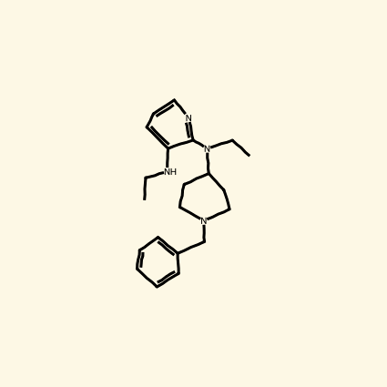 CCNc1cccnc1N(CC)C1CCN(Cc2ccccc2)CC1